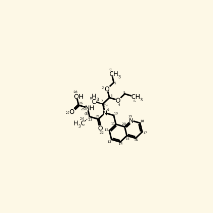 CCOC(OCC)[C@H](C)N(Cc1cccc2cccnc12)C(=O)[C@H](C)NC(=O)O